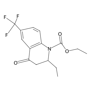 CCOC(=O)N1c2ccc(C(F)(F)F)cc2C(=O)CC1CC